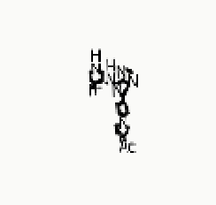 CC(=O)N1CCN(c2ccc(-c3cc4nccnc4c(NC[C@H]4CNCCC4(F)F)n3)cc2)CC1